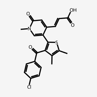 Cc1sc(-c2cn(C)c(=O)cc2C=CC(=O)O)c(C(=O)c2ccc(Cl)cc2)c1C